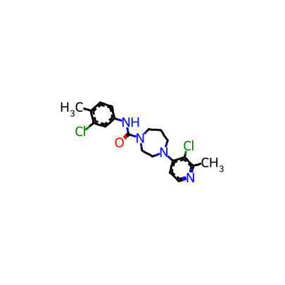 Cc1ccc(NC(=O)N2CCCN(c3ccnc(C)c3Cl)CC2)cc1Cl